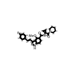 COc1c(C(=O)NC2(C(=O)N3CCCCC3)CC2)ccc2[nH]nc(/C=C/c3ccc(F)cc3)c12